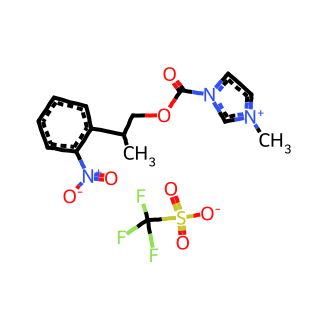 CC(COC(=O)n1cc[n+](C)c1)c1ccccc1[N+](=O)[O-].O=S(=O)([O-])C(F)(F)F